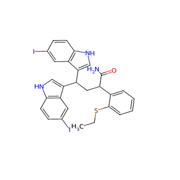 CCSc1ccccc1C(CC(c1c[nH]c2ccc(I)cc12)c1c[nH]c2ccc(I)cc12)C(N)=O